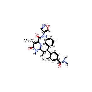 COc1c(C(=O)Nc2cnoc2)nc(C(C)C(c2ccccc2)c2ccc(C(=O)N(C)C)cc2C#N)n(C)c1=O